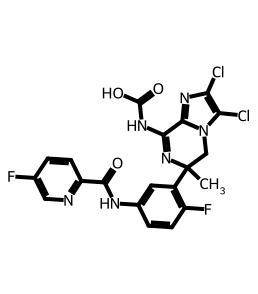 CC1(c2cc(NC(=O)c3ccc(F)cn3)ccc2F)Cn2c(nc(Cl)c2Cl)C(NC(=O)O)=N1